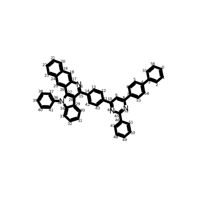 c1ccc(-c2ccc(-c3cc(-c4ccc(-c5nc6cc7ccccc7cc6c6c5c5ccccc5n6-c5ccccc5)cc4)nc(-c4ccccc4)n3)cc2)cc1